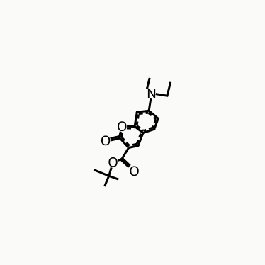 CCN(CC)c1ccc2cc(C(=O)OC(C)(C)C)c(=O)oc2c1